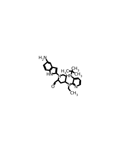 CCN(c1ncccc1NC(C)(C)C)C1CCN(c2cc3cc(N)ccc3[nH]2)C(C=O)C1